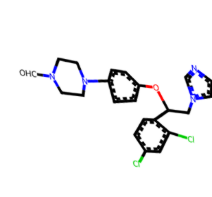 O=CN1CCN(c2ccc(OC(Cn3ccnc3)c3ccc(Cl)cc3Cl)cc2)CC1